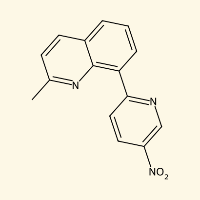 Cc1ccc2cccc(-c3ccc([N+](=O)[O-])cn3)c2n1